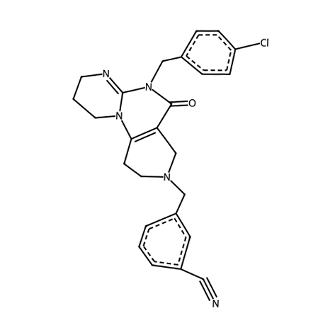 N#Cc1cccc(CN2CCC3=C(C2)C(=O)N(Cc2ccc(Cl)cc2)C2=NCCCN23)c1